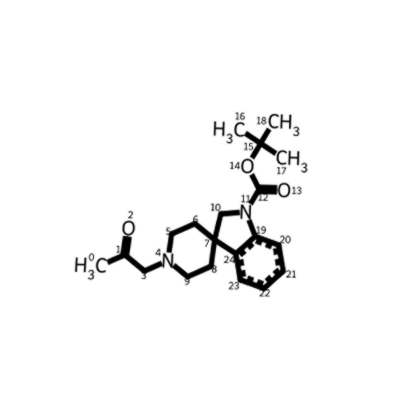 CC(=O)CN1CCC2(CC1)CN(C(=O)OC(C)(C)C)c1ccccc12